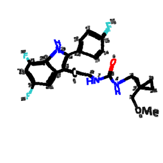 COCC1(CNC(=O)NCCc2c(-c3ccc(F)cc3)[nH]c3c(F)cc(F)cc23)CC1